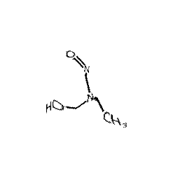 CN(O)N=O